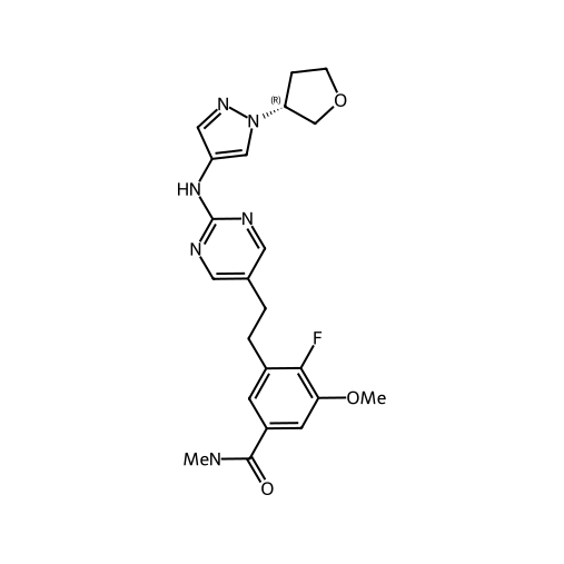 CNC(=O)c1cc(CCc2cnc(Nc3cnn([C@@H]4CCOC4)c3)nc2)c(F)c(OC)c1